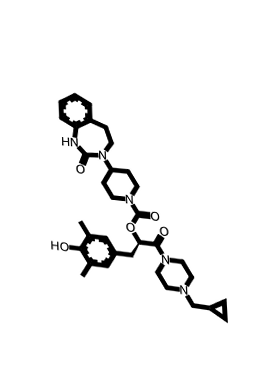 Cc1cc(C[C@@H](OC(=O)N2CCC(N3CCc4ccccc4NC3=O)CC2)C(=O)N2CCN(CC3CC3)CC2)cc(C)c1O